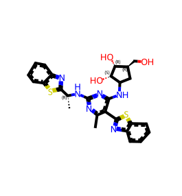 Cc1nc(N[C@H](C)c2nc3ccccc3s2)nc(NC2C[C@H](CO)[C@@H](O)[C@H]2O)c1-c1nc2ccccc2s1